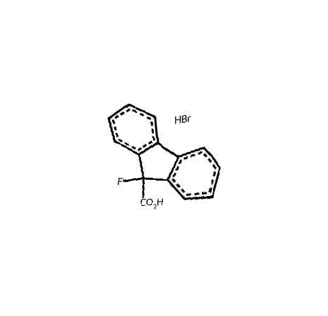 Br.O=C(O)C1(F)c2ccccc2-c2ccccc21